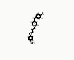 Oc1ccc(OCCCN2CCC(Cc3ccc(F)cc3)CC2)cc1